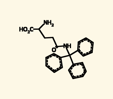 NC(CCC(=O)NC(c1ccccc1)(c1ccccc1)c1ccccc1)C(=O)O